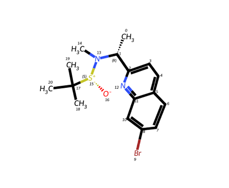 C[C@H](c1ccc2ccc(Br)cc2n1)N(C)[S@+]([O-])C(C)(C)C